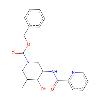 CC1CN(C(=O)OCc2ccccc2)CC(NC(=O)c2ccccn2)C1O